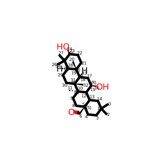 CC1(C)CC[C@]2(C=O)CC[C@]3(C)C(C2C1)[C@H](O)C[C@@H]1[C@@]2(C)CC[C@H](O)C(C)(C)[C@@H]2CC[C@]13C